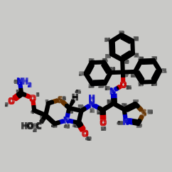 NC(=O)OCC1(C(=O)O)CS[C@@H]2C(NC(=O)C(=NOC(c3ccccc3)(c3ccccc3)c3ccccc3)c3cscn3)C(=O)N2C1